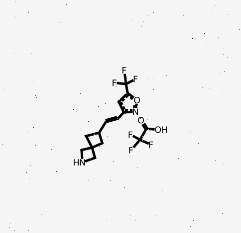 FC(F)(F)c1cc(C=CC2CC3(CNC3)C2)no1.O=C(O)C(F)(F)F